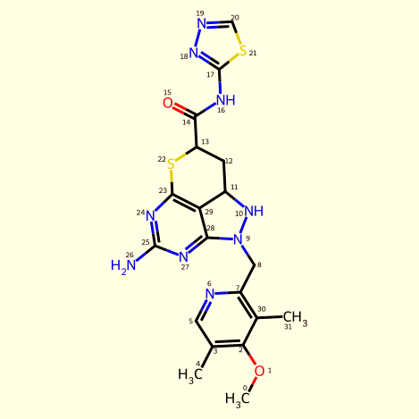 COc1c(C)cnc(CN2NC3CC(C(=O)Nc4nncs4)Sc4nc(N)nc2c43)c1C